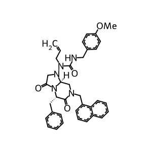 C=CCN(C(=O)NCc1ccc(OC)cc1)N1CC(=O)N2[C@@H](Cc3ccccc3)C(=O)N(Cc3cccc4ccccc34)C[C@@H]21